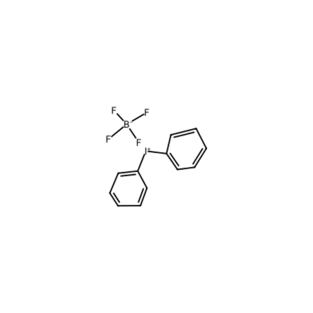 F[B-](F)(F)F.c1ccc([I+]c2ccccc2)cc1